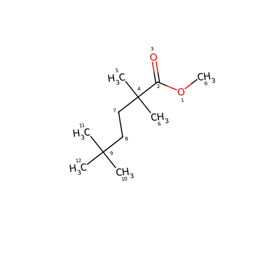 COC(=O)C(C)(C)CCC(C)(C)C